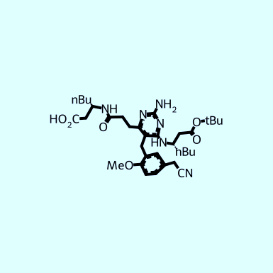 CCCC[C@@H](CC(=O)O)NC(=O)CCc1nc(N)nc(N[C@@H](CCCC)CC(=O)OC(C)(C)C)c1Cc1cc(CC#N)ccc1OC